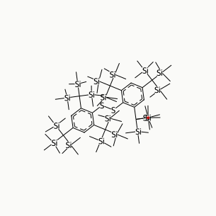 C[Si](C)(C)C(c1cc(C([Si](C)(C)C)([Si](C)(C)C)[Si](C)(C)C)c(SSc2c(C([Si](C)(C)C)([Si](C)(C)C)[Si](C)(C)C)cc(C([Si](C)(C)C)([Si](C)(C)C)[Si](C)(C)C)cc2C([Si](C)(C)C)([Si](C)(C)C)[Si](C)(C)C)c(C([Si](C)(C)C)([Si](C)(C)C)[Si](C)(C)C)c1)([Si](C)(C)C)[Si](C)(C)C